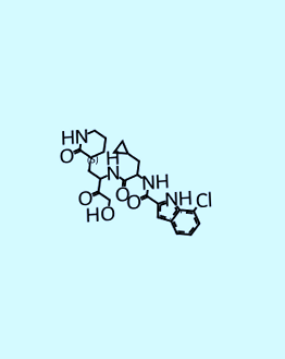 O=C(NC(CC1CC1)C(=O)NC(C[C@@H]1CCCNC1=O)C(=O)CO)c1cc2cccc(Cl)c2[nH]1